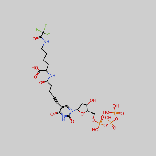 O=C(CCC#Cc1cn([C@H]2C[C@@H](O)[C@@H](COP(=O)(O)OP(=O)(O)OP(=O)(O)O)O2)c(=O)[nH]c1=O)NC(CCCCNC(=O)C(F)(F)F)C(=O)O